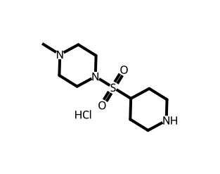 CN1CCN(S(=O)(=O)C2CCNCC2)CC1.Cl